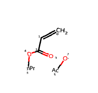 C=CC(=O)OCCC.CC([O])=O